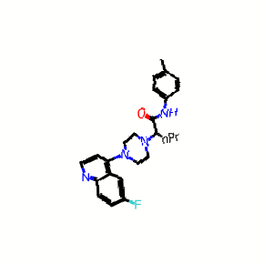 CCCC(C(=O)Nc1ccc(C)cc1)N1CCN(c2ccnc3ccc(F)cc23)CC1